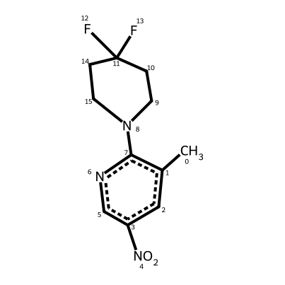 Cc1cc([N+](=O)[O-])cnc1N1CCC(F)(F)CC1